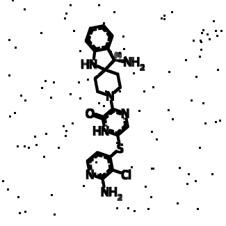 Nc1nccc(Sc2cnc(N3CCC4(CC3)Nc3ccccc3[C@H]4N)c(=O)[nH]2)c1Cl